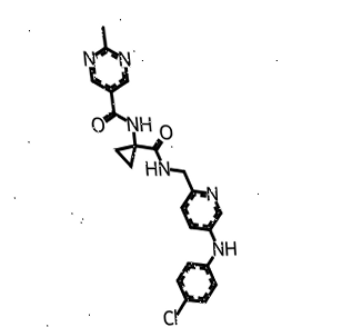 Cc1ncc(C(=O)NC2(C(=O)NCc3ccc(Nc4ccc(Cl)cc4)cn3)CC2)cn1